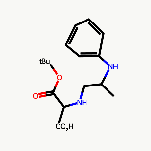 CC(CNC(C(=O)O)C(=O)OC(C)(C)C)Nc1ccccc1